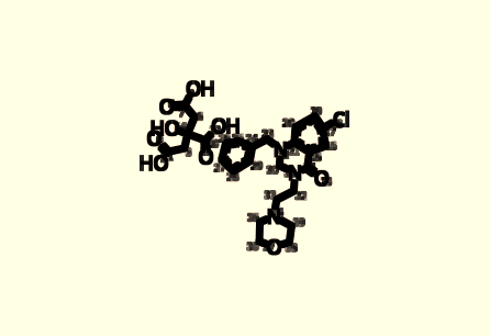 O=C(O)CC(O)(CC(=O)O)C(=O)O.O=C1c2cc(Cl)ccc2N(Cc2ccccc2)CN1CCN1CCOCC1